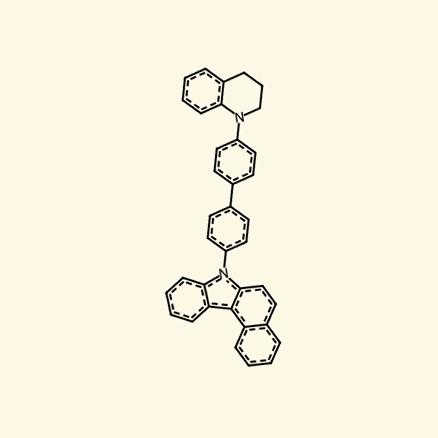 c1ccc2c(c1)CCCN2c1ccc(-c2ccc(-n3c4ccccc4c4c5ccccc5ccc43)cc2)cc1